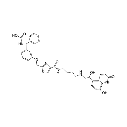 O=C(O)NC(c1ccccc1)c1cccc(OCc2nc(C(=O)NCCCCNCC(O)c3ccc(O)c4[nH]c(=O)ccc34)cs2)c1